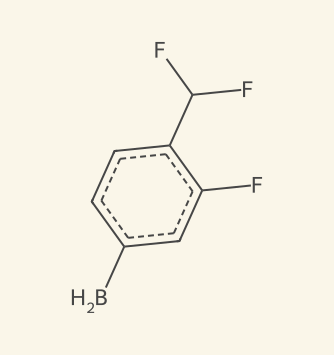 Bc1ccc(C(F)F)c(F)c1